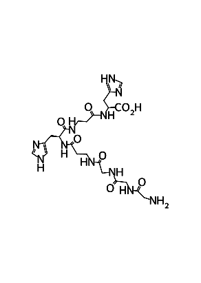 NCC(=O)NCC(=O)NCC(=O)NCCC(=O)N[C@@H](Cc1c[nH]cn1)C(=O)NCCC(=O)N[C@@H](Cc1c[nH]cn1)C(=O)O